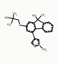 Cn1cc(-c2cc(OCC(C)(C)O)cc3c2-c2ccccc2C3(O)C(F)(F)F)cn1